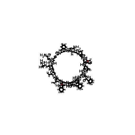 CCCC[C@H]1C(=O)N(C)[C@@H](CCCC)C(=O)N[C@@H](CCCNC(=N)N)C(=O)N[C@H](C(=O)NCC(N)=O)CSCC(=O)N[C@@H](Cc2ccccc2)C(=O)N(C)[C@@H](C)C(=O)N[C@@H](CC(N)=O)C(=O)N2CCC[C@H]2C(=O)N[C@@H](Cc2cnc[nH]2)C(=O)N[C@@H](CC(C)C)C(=O)N[C@@H](CCNC(=O)c2ccccc2)C(=O)N[C@@H](Cc2c[nH]c3ccccc23)C(=O)N[C@@H](CO)C(=O)N[C@@H](Cc2c[nH]c3ccccc23)C(=O)N1C